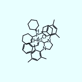 Cc1cc(C)c(N2CCN(c3c(C)cc(C)cc3C)[CH]2[Ru]([Cl])([Cl])(=[CH]c2ccccc2)[PH](C2CCCCC2)(C2CCCCC2)C2CCCCC2)c(C)c1